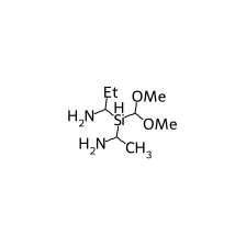 CCC(N)[SiH](C(C)N)C(OC)OC